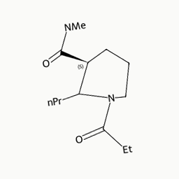 CCCC1[C@@H](C(=O)NC)CCCN1C(=O)CC